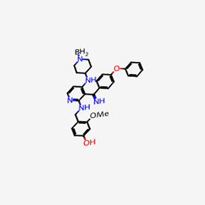 BN1CCC(Nc2ccnc(NCc3ccc(O)cc3OC)c2C(=N)c2ccc(Oc3ccccc3)cc2)CC1